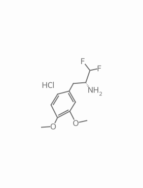 COc1ccc(C[C@@H](N)C(F)F)cc1OC.Cl